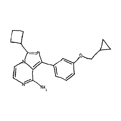 Nc1nccn2c(C3CCC3)nc(-c3cccc(OCC4CC4)c3)c12